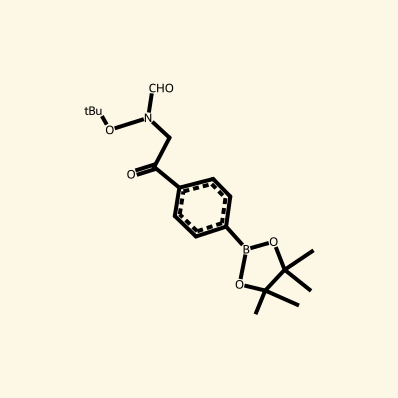 CC(C)(C)ON(C=O)CC(=O)c1ccc(B2OC(C)(C)C(C)(C)O2)cc1